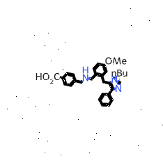 CCCCn1cnc(-c2ccccc2)c1Cc1cc(OC)ccc1CNCc1ccc(C(=O)O)cc1